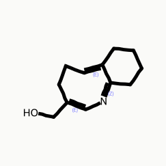 OC/C1=C/N=C2/CCCC/C2=C\CC1